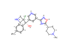 CC(=O)N1CCC(c2nc(-c3cncc([C@@](O)(c4ccc(C(C)C)cc4)C4(F)CNC4)c3)no2)CC1